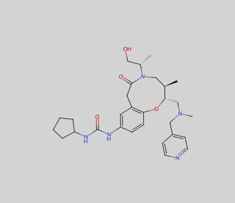 C[C@@H]1CN([C@@H](C)CO)C(=O)Cc2cc(NC(=O)NC3CCCC3)ccc2O[C@H]1CN(C)Cc1ccncc1